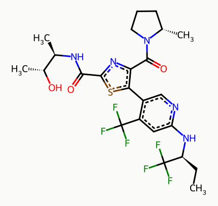 CC[C@H](Nc1cc(C(F)(F)F)c(-c2sc(C(=O)N[C@H](C)[C@@H](C)O)nc2C(=O)N2CCC[C@@H]2C)cn1)C(F)(F)F